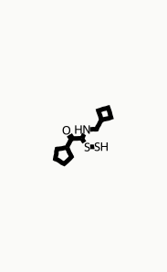 O=C(C1CCCC1)C(NCC1CCC1)SS